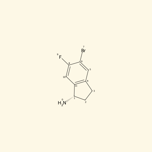 N[C@H]1CCc2cc(Br)c(F)cc21